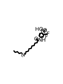 CCCCCN(C)CCCCCCCCCC(=O)Nc1ccc([N+](=O)O)c(C(F)(F)F)c1